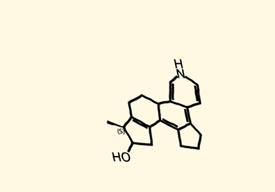 C[C@H]1C2=C(CC1O)C1=C3CCCC3=C3C=CNC=C3C1CC2